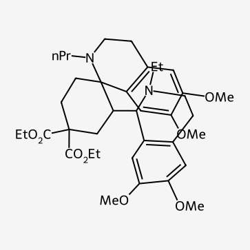 CCCN1CCc2cc(OC)c(OC)cc2C12CCC(C(=O)OCC)(C(=O)OCC)CC2C1c2cc(OC)c(OC)cc2CCN1CC